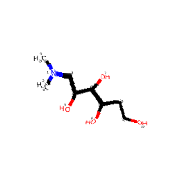 CN(C)CC(O)C(O)C(O)CCO